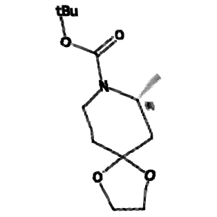 C[C@@H]1CC2(CCN1C(=O)OC(C)(C)C)OCCO2